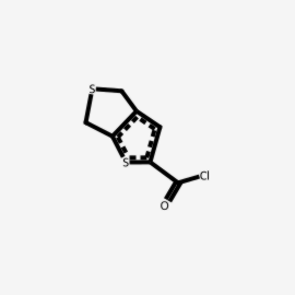 O=C(Cl)c1cc2c(s1)CSC2